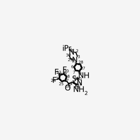 CC(C)N1CCN(c2ccc(Nc3nc(N)c(C(=O)c4cc(F)c(F)c(F)c4)s3)cc2)CC1